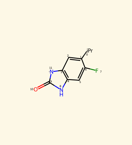 CC(C)c1cc2c(cc1F)NC(=O)[N]2